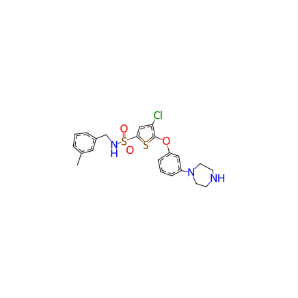 Cc1cccc(CNS(=O)(=O)c2cc(Cl)c(Oc3cccc(N4CCNCC4)c3)s2)c1